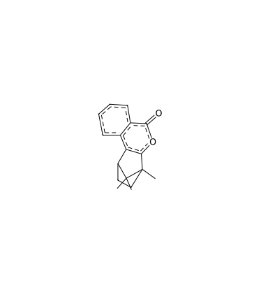 CC12CCC(c3c1oc(=O)c1ccccc31)C2(C)C